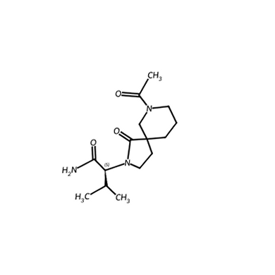 CC(=O)N1CCCC2(CCN([C@H](C(N)=O)C(C)C)C2=O)C1